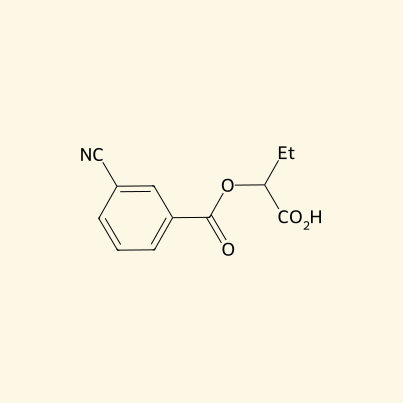 CCC(OC(=O)c1cccc(C#N)c1)C(=O)O